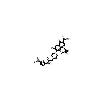 COc1c(N2CCN(CC(=O)Nc3ncc([N+](=O)[O-])s3)CC2)c(F)cc2c(=O)c(C(=O)O)cn(C3CC3)c12